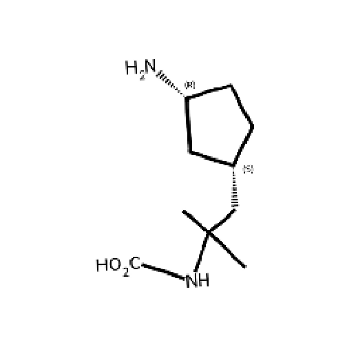 CC(C)(C[C@H]1CC[C@@H](N)C1)NC(=O)O